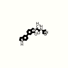 C[C@H](C(=O)Nc1cnoc1)N1Cc2ccc(-c3ccc4[nH]ccc4c3)cc2C1=O